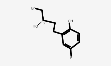 Oc1ccc(F)cc1CC[C@H](O)CBr